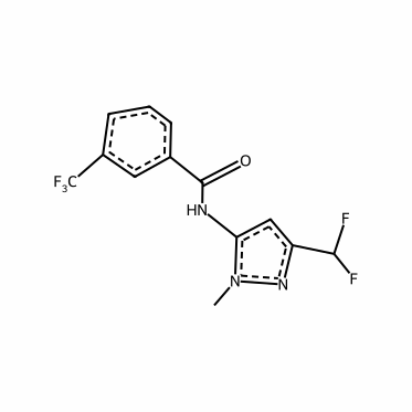 Cn1nc(C(F)F)cc1NC(=O)c1cccc(C(F)(F)F)c1